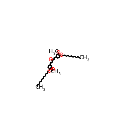 CCCCCCCCCCCCOc1ccc(C=CC(=O)C=Cc2ccc(OCCCCCCCCCCCC)c(OC)c2)cc1OC